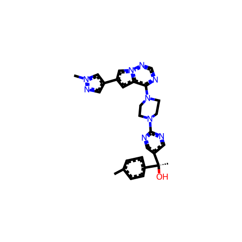 Cc1ccc([C@](C)(O)c2cnc(N3CCN(c4ncnn5cc(-c6cnn(C)c6)cc45)CC3)nc2)cc1